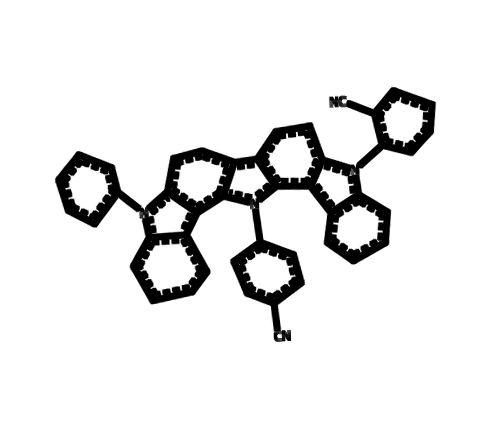 N#Cc1ccc(-n2c3c(ccc4c3c3ccccc3n4-c3ccccc3)c3ccc4c(c5ccccc5n4-c4ccccc4C#N)c32)cc1